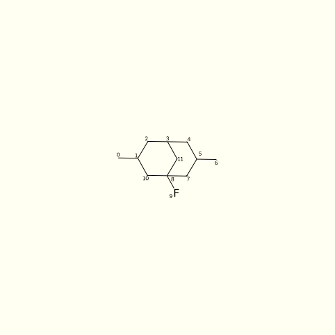 CC1CC2CC(C)CC(F)(C1)C2